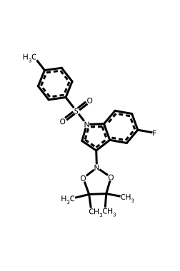 Cc1ccc(S(=O)(=O)n2cc(N3OC(C)(C)C(C)(C)O3)c3cc(F)ccc32)cc1